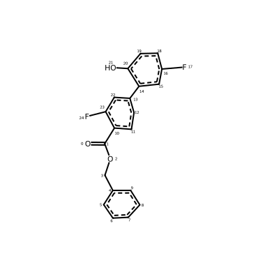 O=C(OCc1ccccc1)c1ccc(-c2cc(F)ccc2O)cc1F